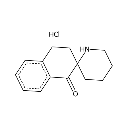 Cl.O=C1c2ccccc2CCC12CCCCN2